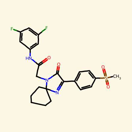 CS(=O)(=O)c1ccc(C2=NC3(CCCCC3)N(CC(=O)Nc3cc(F)cc(F)c3)C2=O)cc1